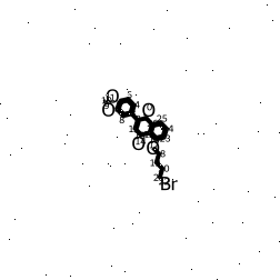 O=C1C(c2ccc3c(c2)OCO3)=CC(=O)c2c(OCCCCBr)cccc21